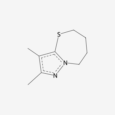 Cc1nn2c(c1C)SCCCC2